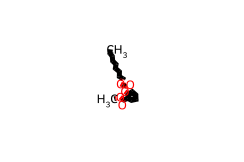 CCCCCCCCCOC(=O)Oc1ccccc1C(=O)OC